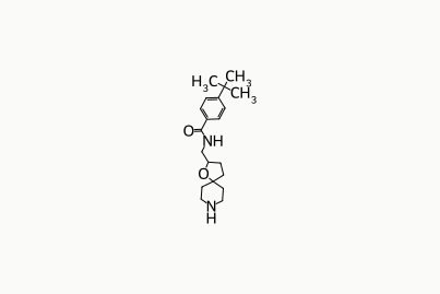 CC(C)(C)c1ccc(C(=O)NCC2CCC3(CCNCC3)O2)cc1